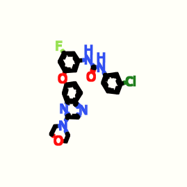 O=C(Nc1cccc(Cl)c1)Nc1cc(F)cc(Oc2ccc3ncc(N4CCOCC4)nc3c2)c1